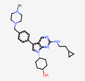 CC(C)N1CCN(Cc2ccc(-c3cn([C@H]4CC[C@H](O)CC4)c4nc(NCCC5CC5)ncc34)cc2)CC1